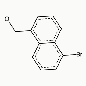 [O]Cc1cccc2c(Br)cccc12